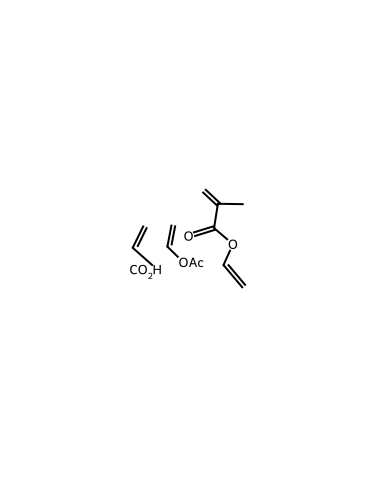 C=CC(=O)O.C=COC(=O)C(=C)C.C=COC(C)=O